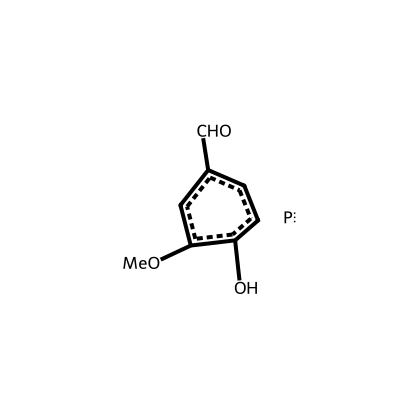 COc1cc(C=O)ccc1O.[P]